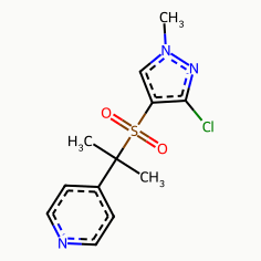 Cn1cc(S(=O)(=O)C(C)(C)c2ccncc2)c(Cl)n1